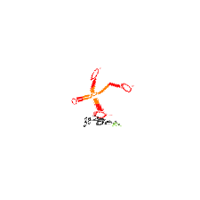 O=P([O-])([O-])[O-].[Be+2].[Be+2].[F-]